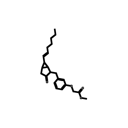 CCCCC/C=C/C1C2CC(=O)C(Cc3cccc(OCC(=O)OC)c3)C12